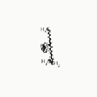 CCCCCCCCCCCCCCCCN(C)C.COS(=O)(=O)O